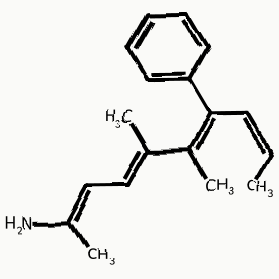 C\C=C/C(=C(C)/C(C)=C/C=C(\C)N)c1ccccc1